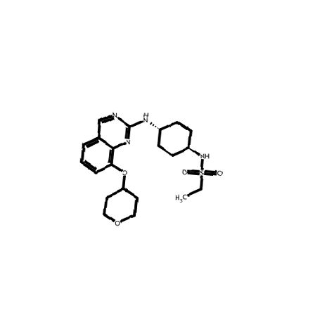 CCS(=O)(=O)N[C@H]1CC[C@H](Nc2ncc3cccc(OC4CCOCC4)c3n2)CC1